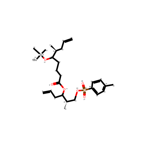 C=CCC(OC(=O)CCCC(O[Si](C)(C)C(C)(C)C)[C@@H](C)CC=C)[C@@H](C)COS(=O)(=O)c1ccc(C)cc1